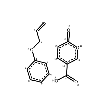 C=CCOc1ccccc1.O=C(O)c1ccc(=O)oc1